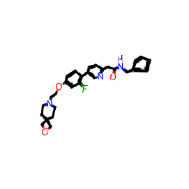 O=C(Cc1ccc(-c2ccc(OCCN3CCC4(CC3)COC4)cc2F)cn1)NCc1ccccc1